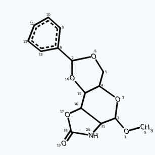 COC1OC2COC(c3ccccc3)OC2C2OC(=O)NC12